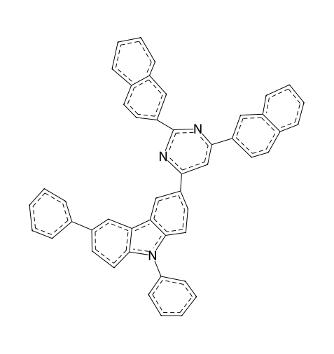 c1ccc(-c2ccc3c(c2)c2cc(-c4cc(-c5ccc6ccccc6c5)nc(-c5ccc6ccccc6c5)n4)ccc2n3-c2ccccc2)cc1